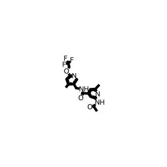 CC(=O)Nc1cc(C(=O)NCc2cnc(OCC(F)(F)F)cc2C)cc(C)n1